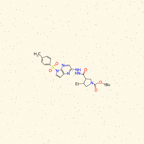 CCC1CN(C(=O)OC(C)(C)C)CC1C(=O)NNc1cnc2c(ccn2S(=O)(=O)c2ccc(C)cc2)n1